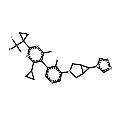 Cc1nc(C2(C(F)(F)F)CC2)nc(C2CC2)c1-c1cncc(N2CC3C(C2)C3n2cnnc2)c1F